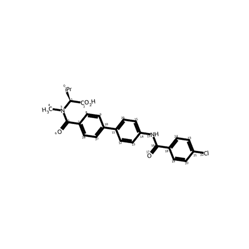 CC(C)[C@@H](C(=O)O)N(C)C(=O)c1ccc(-c2ccc(NC(=O)c3ccc(Cl)cc3)cc2)cc1